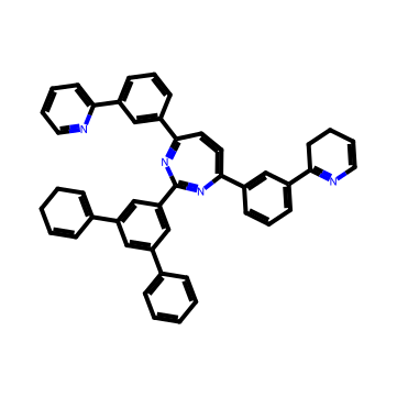 C1=CC(c2cccc(-c3ccccn3)c2)=NC(c2cc(C3=CCCC=C3)cc(-c3ccccc3)c2)=NC=1c1cccc(C2=NC=CCC2)c1